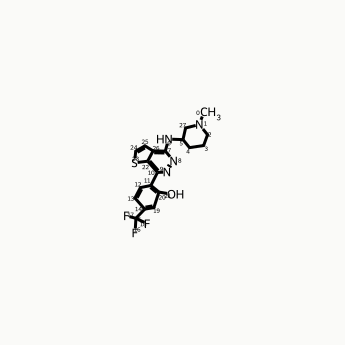 CN1CCCC(Nc2nnc(-c3ccc(C(F)(F)F)cc3O)c3sccc23)C1